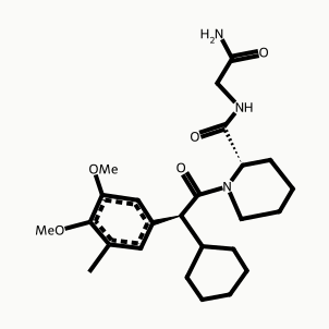 COc1cc([C@@H](C(=O)N2CCCC[C@H]2C(=O)NCC(N)=O)C2CCCCC2)cc(C)c1OC